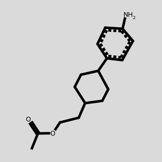 CC(=O)OCCC1CCC(c2ccc(N)cc2)CC1